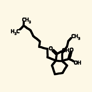 CCCCC1(C(=O)O)CCCCC1(CCCCCCC(C)C)C(=O)O